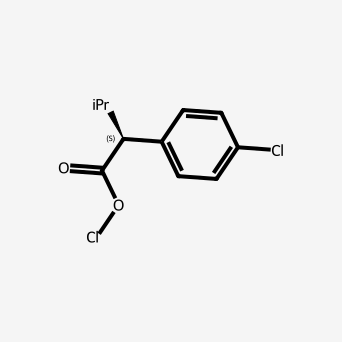 CC(C)[C@H](C(=O)OCl)c1ccc(Cl)cc1